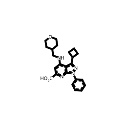 O=C(O)c1cc(NCC2CCOCC2)c2c(C3CCC3)nn(-c3ccccc3)c2n1